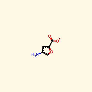 COC(=O)c1cc(N)co1